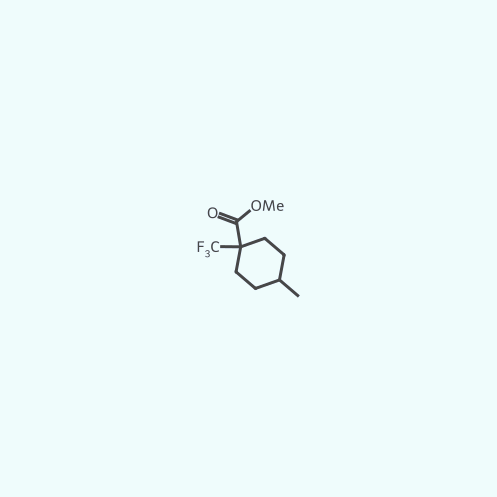 COC(=O)C1(C(F)(F)F)CCC(C)CC1